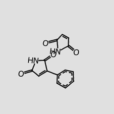 O=C1C=C(c2ccccc2)C(=O)N1.O=C1C=CC(=O)N1